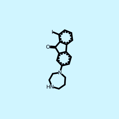 O=C1c2cc(N3CCCNCC3)ccc2-c2cccc(I)c21